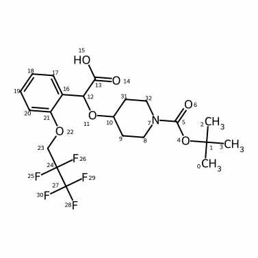 CC(C)(C)OC(=O)N1CCC(OC(C(=O)O)c2ccccc2OCC(F)(F)C(F)(F)F)CC1